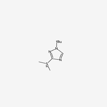 C[SH](C)c1ncn(C(C)(C)C)n1